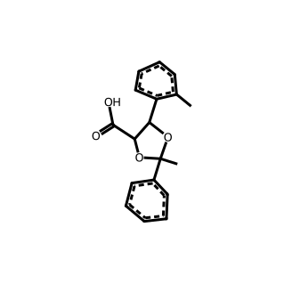 Cc1ccccc1C1OC(C)(c2ccccc2)OC1C(=O)O